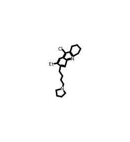 CCc1cc2c(Cl)c3c(nc2cc1CCCCN1CCCC1)CCCC3